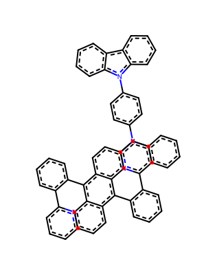 c1ccc(N(c2ccc(-n3c4ccccc4c4ccccc43)cc2)c2ccc3c(-c4ccccc4-c4ccccn4)c4ccccc4c(-c4ccccc4-c4ccccn4)c3c2)cc1